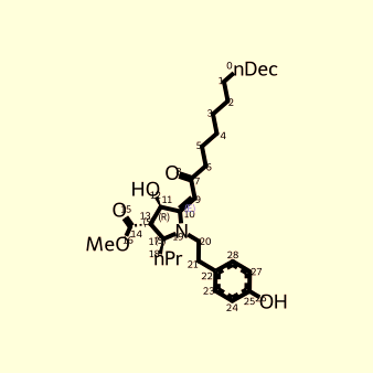 CCCCCCCCCCCCCCCCC(=O)/C=C1\[C@H](O)[C@@H](C(=O)OC)[C@H](CCC)N1CCc1ccc(O)cc1